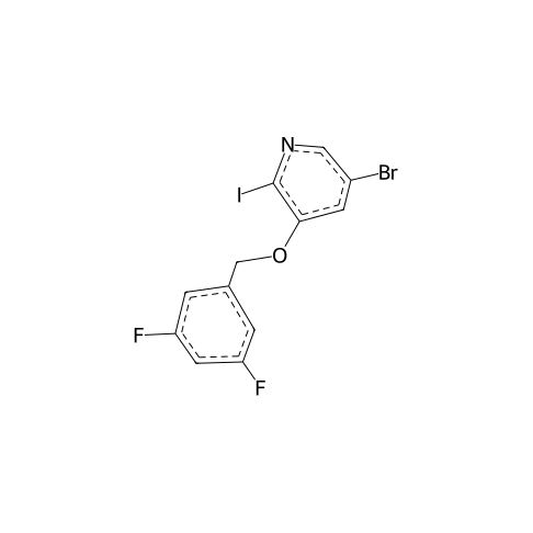 Fc1cc(F)cc(COc2cc(Br)cnc2I)c1